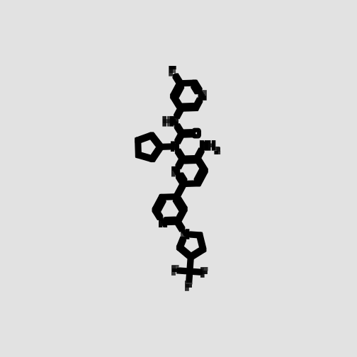 Nc1ccc(-c2ccnc(N3CCC(C(F)(F)F)C3)c2)nc1N(C(=O)Nc1cncc(F)c1)C1CCCC1